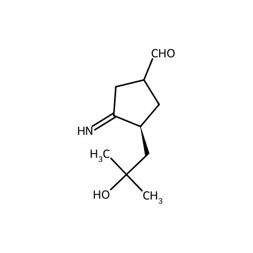 CC(C)(O)C[C@@H]1CC(C=O)CC1=N